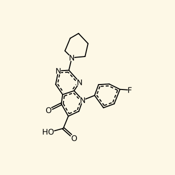 O=C(O)c1cn(-c2ccc(F)cc2)c2nc(N3CCCCC3)ncc2c1=O